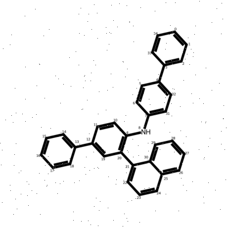 c1ccc(-c2ccc(Nc3ccc(-c4ccccc4)cc3-c3cccc4ccccc34)cc2)cc1